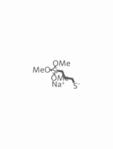 CO[Si](CCC[S-])(OC)OC.[Na+]